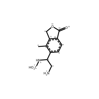 Cc1c(C(CN)NC(=O)O)ccc2c1COC2=O